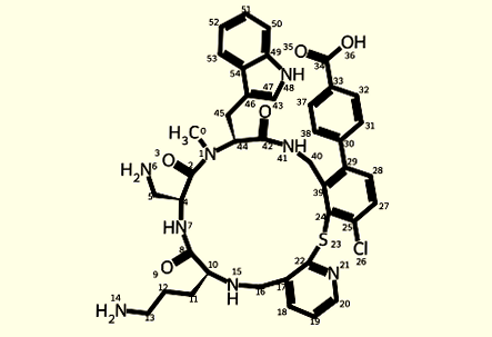 CN1C(=O)[C@H](CN)NC(=O)[C@H](CCCN)NCc2cccnc2Sc2c(Cl)ccc(-c3ccc(C(=O)O)cc3)c2CNC(=O)[C@@H]1Cc1c[nH]c2ccccc12